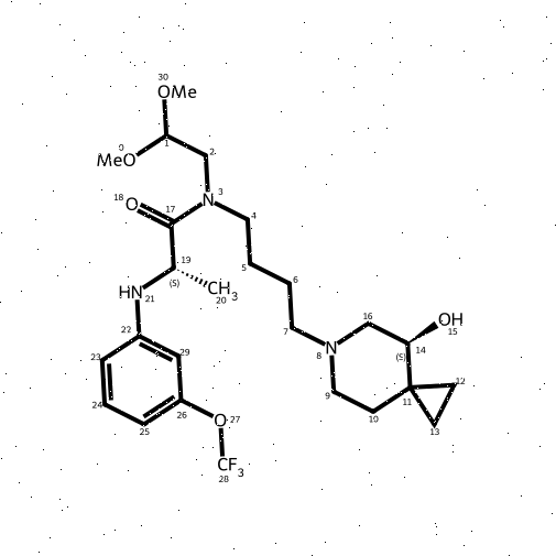 COC(CN(CCCCN1CCC2(CC2)[C@H](O)C1)C(=O)[C@H](C)Nc1cccc(OC(F)(F)F)c1)OC